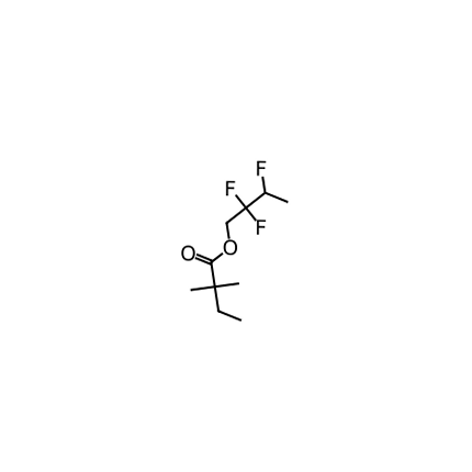 CCC(C)(C)C(=O)OCC(F)(F)C(C)F